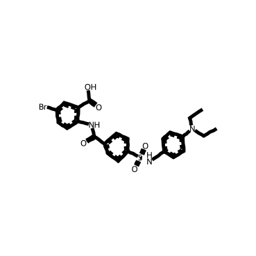 CCN(CC)c1ccc(NS(=O)(=O)c2ccc(C(=O)Nc3ccc(Br)cc3C(=O)O)cc2)cc1